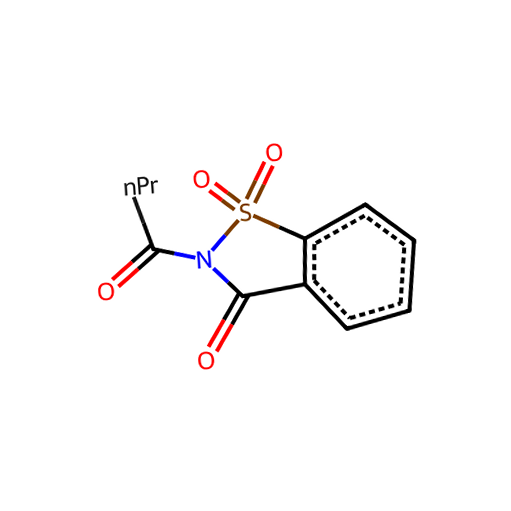 CCCC(=O)N1C(=O)c2ccccc2S1(=O)=O